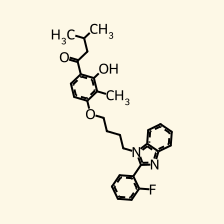 Cc1c(OCCCCn2c(-c3ccccc3F)nc3ccccc32)ccc(C(=O)CC(C)C)c1O